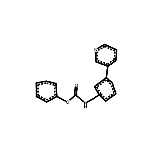 O=C(Nc1cccc(-c2cccnc2)c1)Oc1ccccc1